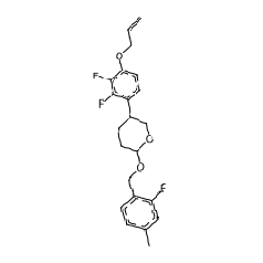 C=CCOc1ccc(C2CCC(OCc3ccc(C)cc3F)OC2)c(F)c1F